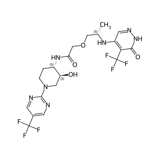 C[C@@H](COCC(=O)N[C@H]1CCN(c2ncc(C(F)(F)F)cn2)C[C@@H]1O)Nc1cn[nH]c(=O)c1C(F)(F)F